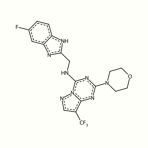 Fc1ccc2[nH]c(CNc3nc(N4CCOCC4)nc4c(C(F)(F)F)cnn34)nc2c1